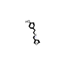 Oc1ccc(CC/N=C/c2ccoc2)cc1